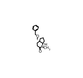 CN1C(=O)CC[C@@]2(COCc3ccccc3)CCC[C@@H]12